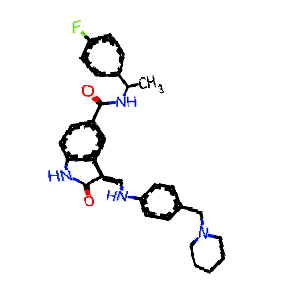 CC(NC(=O)c1ccc2c(c1)/C(=C/Nc1ccc(CN3CCCCC3)cc1)C(=O)N2)c1ccc(F)cc1